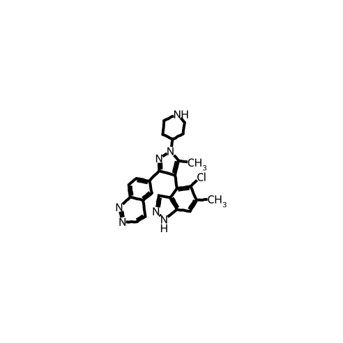 Cc1cc2[nH]ncc2c(-c2c(-c3ccc4nnccc4c3)nn(C3CCNCC3)c2C)c1Cl